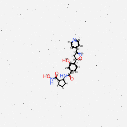 O=C(NC1CCCC1C(=O)NO)c1ccc(C2CC(c3ccncc3)=NO2)c(O)c1